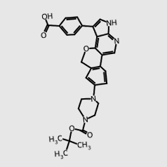 CC(C)(C)OC(=O)N1CCN(c2ccc3c(c2)COc2c-3cnc3[nH]cc(-c4ccc(C(=O)O)cc4)c23)CC1